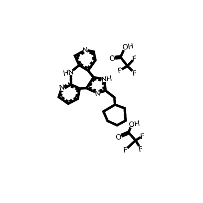 O=C(O)C(F)(F)F.O=C(O)C(F)(F)F.c1cnc2c(c1)-c1nc(CC3CCCCC3)[nH]c1-c1ccncc1N2